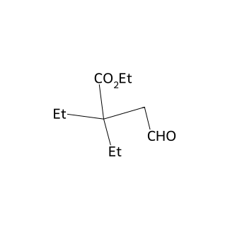 CCOC(=O)C(CC)(CC)CC=O